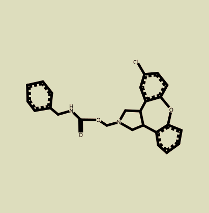 O=C(NCc1ccccc1)OCN1CC2c3ccccc3Oc3ccc(Cl)cc3C2C1